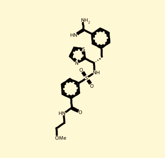 COCCNC(=O)c1cccc(S(=O)(=O)N[C@@H](Cc2cccc(C(=N)N)c2)c2nccs2)c1